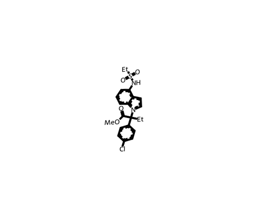 CCC(C(=O)OC)(c1ccc(Cl)cc1)n1ccc2c(NS(=O)(=O)CC)cccc21